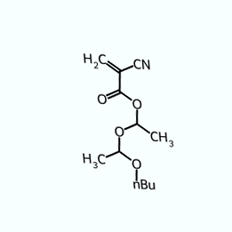 C=C(C#N)C(=O)OC(C)OC(C)OCCCC